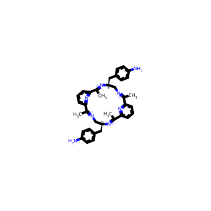 C/C1=N\C[C@H](Cc2ccc(N)cc2)/N=C(\C)c2cccc(n2)/C(C)=N/C[C@H](Cc2ccc(N)cc2)/N=C(\C)c2cccc1n2